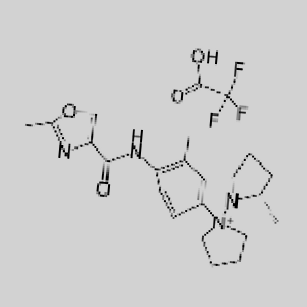 Cc1nc(C(=O)Nc2ccc([N+]3(N4CCC[C@@H]4C)CCCC3)cc2C)co1.O=C(O)C(F)(F)F